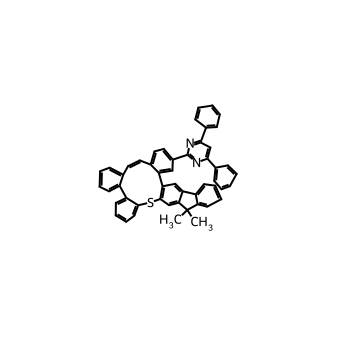 CC1(C)c2ccccc2-c2cc3c(cc21)Sc1ccccc1-c1ccccc1/C=C\c1ccc(-c2nc(-c4ccccc4)cc(-c4ccccc4)n2)cc1-3